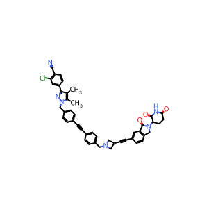 Cc1c(-c2ccc(C#N)c(Cl)c2)nn(Cc2ccc(C#Cc3ccc(CN4CC(C#Cc5ccc6c(c5)C(=O)N(C5CCC(=O)NC5=O)C6)C4)cc3)cc2)c1C